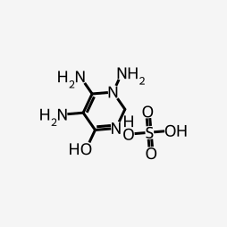 NC1=C(N)N(N)CN=C1O.O=S(=O)(O)O